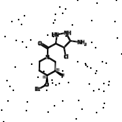 CCO[C@H]1CCN(C(=O)C2NNC(N)C2Cl)C[C@H]1F